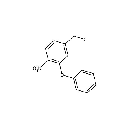 O=[N+]([O-])c1ccc(CCl)cc1Oc1ccccc1